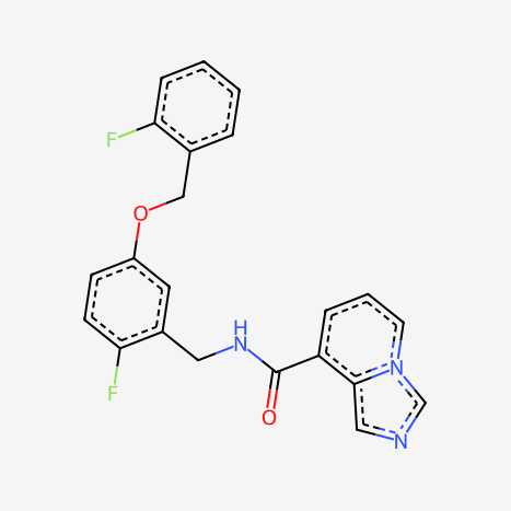 O=C(NCc1cc(OCc2ccccc2F)ccc1F)c1cccn2cncc12